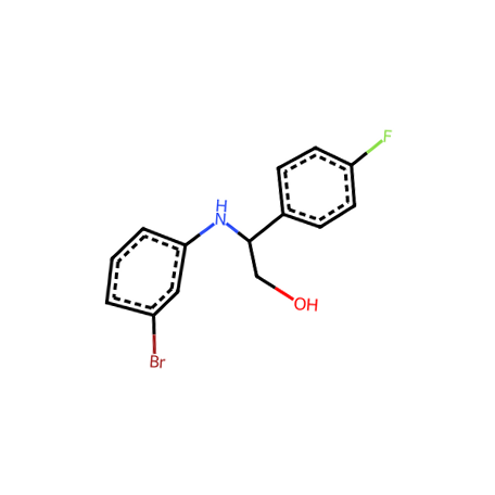 OCC(Nc1cccc(Br)c1)c1ccc(F)cc1